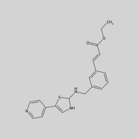 CCOC(=O)/C=C/c1cccc(CNC2NC=C(c3ccncc3)S2)c1